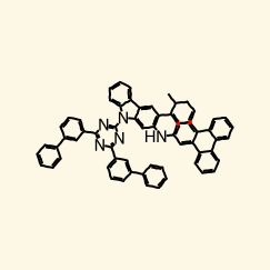 CC1CC=CC=C1c1cc2c3ccccc3n(-c3nc(-c4cccc(-c5ccccc5)c4)nc(-c4cccc(-c5ccccc5)c4)n3)c2cc1Nc1ccc2c3ccccc3c3ccccc3c2c1